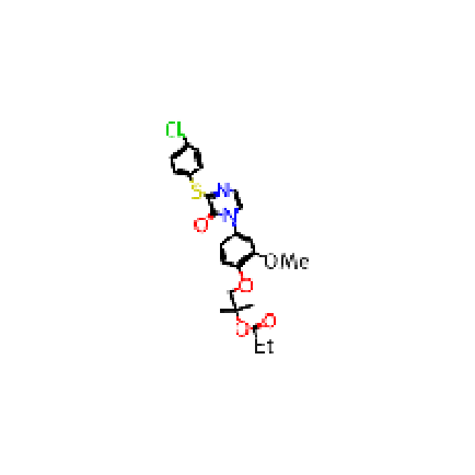 CCC(=O)OC(C)(C)COc1ccc(-n2ccnc(Sc3ccc(Cl)cc3)c2=O)cc1OC